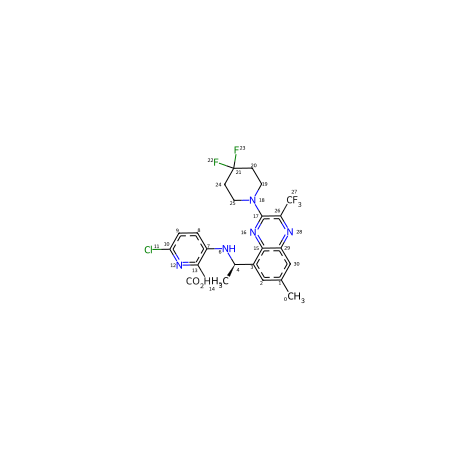 Cc1cc([C@@H](C)Nc2ccc(Cl)nc2C(=O)O)c2nc(N3CCC(F)(F)CC3)c(C(F)(F)F)nc2c1